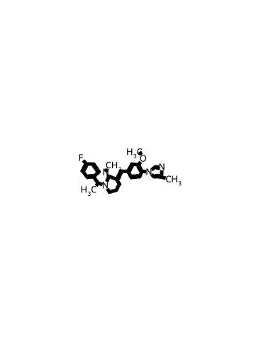 C/N=C1\C(=C\c2ccc(-n3cnc(C)c3)c(OC)c2)CCCN1C(C)c1ccc(F)cc1